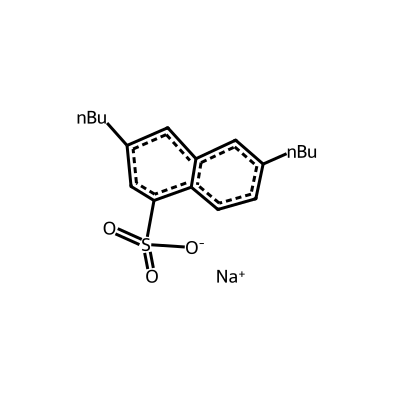 CCCCc1ccc2c(S(=O)(=O)[O-])cc(CCCC)cc2c1.[Na+]